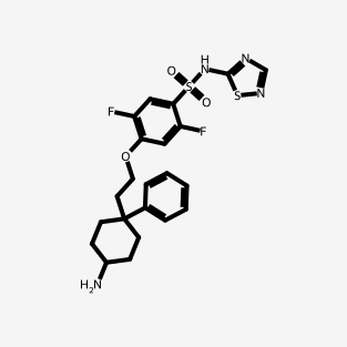 NC1CCC(CCOc2cc(F)c(S(=O)(=O)Nc3ncns3)cc2F)(c2ccccc2)CC1